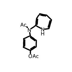 CC(=O)Oc1ccc(N(C(C)=O)C2=CC=CC=CN2)cc1